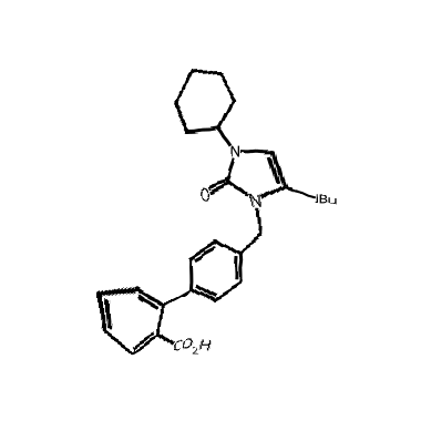 CCC(C)c1cn(C2CCCCC2)c(=O)n1Cc1ccc(-c2ccccc2C(=O)O)cc1